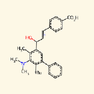 Cc1c(C(O)/C=C/c2ccc(C(=O)O)cc2)cc(-c2ccccc2)c(C(C)(C)C)c1N(C)C